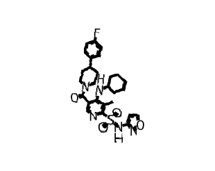 Cc1c(S(=O)(=O)Nc2ccon2)ncc(C(=O)N2CCC(c3ccc(F)cc3)CC2)c1NC1CCCCC1